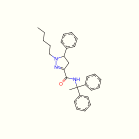 CCCCCN1N=C(C(=O)NC(C)(c2ccccc2)c2ccccc2)CC1c1ccccc1